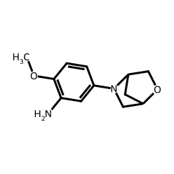 COc1ccc(N2CC3CC2CO3)cc1N